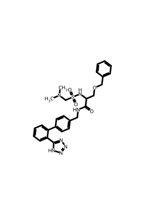 CN(C)CS(=O)(=O)NC(COCc1ccccc1)C(=O)NCc1ccc(-c2ccccc2-c2nnn[nH]2)cc1